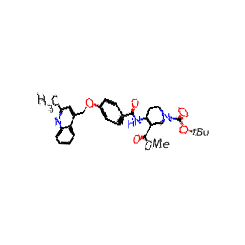 COC(=O)C1CN(C(=O)OC(C)(C)C)CCC1NC(=O)c1ccc(OCc2cc(C)nc3ccccc23)cc1